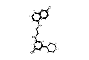 Clc1ccc2c(NCCNc3nc(Cl)cc(N4CCOCC4)n3)ccnc2c1